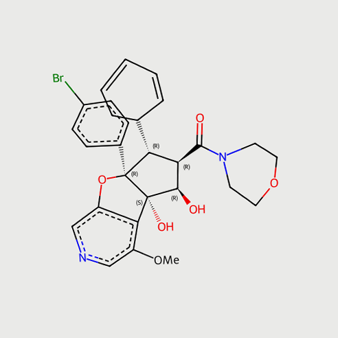 COc1cncc2c1[C@]1(O)[C@H](O)[C@H](C(=O)N3CCOCC3)[C@@H](C3C=CC=CC3)[C@]1(c1ccc(Br)cc1)O2